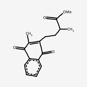 COC(=O)C(C)CCC1=C(C)C(=O)c2ccccc2C1=O